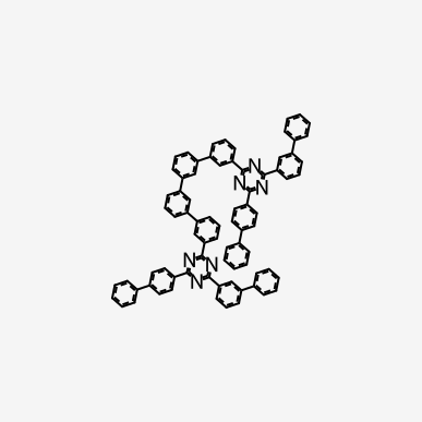 c1ccc(-c2ccc(-c3nc(-c4cccc(-c5ccccc5)c4)nc(-c4cccc(-c5cccc(-c6cccc(-c7cccc(-c8nc(-c9ccc(-c%10ccccc%10)cc9)nc(-c9cccc(-c%10ccccc%10)c9)n8)c7)c6)c5)c4)n3)cc2)cc1